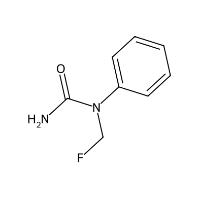 NC(=O)N(CF)c1ccccc1